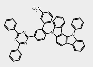 O=[N+]([O-])c1cccc(-c2cc(-c3nc(-c4ccccc4)nc(-c4ccccc4)n3)ccc2-n2c3ccccc3c3c2ccc2c4ccccc4n(-c4ccccc4)c23)c1